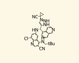 CC(C)(C)CNc1c(C#N)cnc2c(Cl)cc(N[C@H](C3=CN(C4(C#N)CC4)NN3)c3cccc4cnccc34)cc12